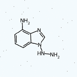 NNn1cnc2c(N)cccc21